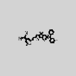 CC1=CC(=C(C#N)C#N)C=C(/C=C/c2cc3c(s2)-c2ncc(N(C4=CC=C[C@@H](C)C4)c4ccccc4)cc2C3(C)C)O1